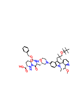 CCn1c(-c2cccnc2[C@H](C)OC)c(CC(C)(C)CO[Si](C)(C)C(C)(C)C)c2cc(N3CCO[C@@H](C[C@H](NC(=O)OCc4ccccc4)C(=O)N4CCC[C@@H](C(=O)O)N4)C3)ccc21